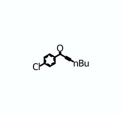 CCCCC#CC(=O)c1ccc(Cl)cc1